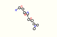 N#Cc1ccc2oc3ccc(-c4ccc5oc6c(CCc7cccc8c7oc7ccc(-c9ccc%10c(c9)c9ccccc9n%10-c9ccccc9)cc78)ccnc6c5c4)cc3c2c1